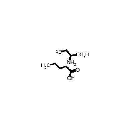 CC(=O)CC(N)C(=O)O.CCCCC(=O)O